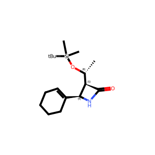 C[C@@H](O[Si](C)(C)C(C)(C)C)[C@H]1C(=O)N[C@H]1C1=CCCCC1